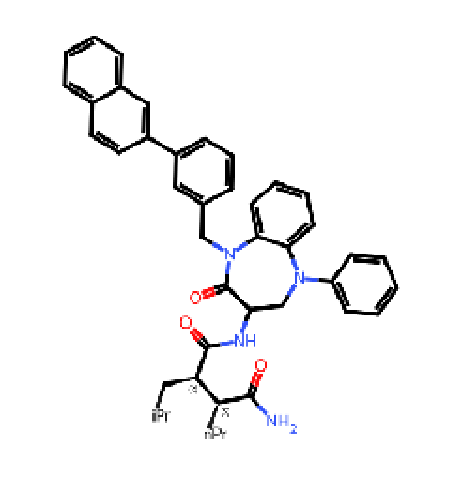 CCC[C@H](C(N)=O)[C@@H](CC(C)C)C(=O)NC1CN(c2ccccc2)c2ccccc2N(Cc2cccc(-c3ccc4ccccc4c3)c2)C1=O